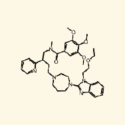 CCOCCn1c(N2CCCN(CCC(CN(C)C(=O)c3cc(OC)c(OC)c(OC)c3)c3ccccn3)CC2)nc2ccccc21